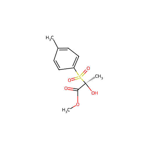 COC(=O)[C@](C)(O)S(=O)(=O)c1ccc(C)cc1